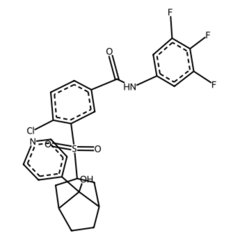 O=C(Nc1cc(F)c(F)c(F)c1)c1ccc(Cl)c(S(=O)(=O)C2CC3CCC(C2)C3(O)c2ccncc2)c1